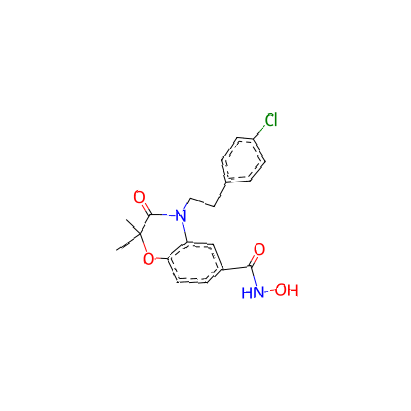 CC1(C)Oc2ccc(C(=O)NO)cc2N(CCc2ccc(Cl)cc2)C1=O